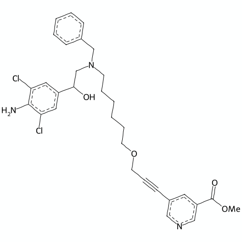 COC(=O)c1cncc(C#CCOCCCCCCN(Cc2ccccc2)CC(O)c2cc(Cl)c(N)c(Cl)c2)c1